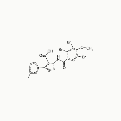 COc1c(Br)cc(C(=O)Nc2csc(-c3cccc(I)c3)c2C(=O)O)c(Br)c1Br